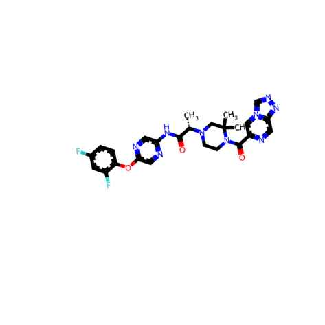 C[C@@H](C(=O)Nc1cnc(Oc2ccc(F)cc2F)cn1)N1CCN(C(=O)c2cn3cnnc3cn2)C(C)(C)C1